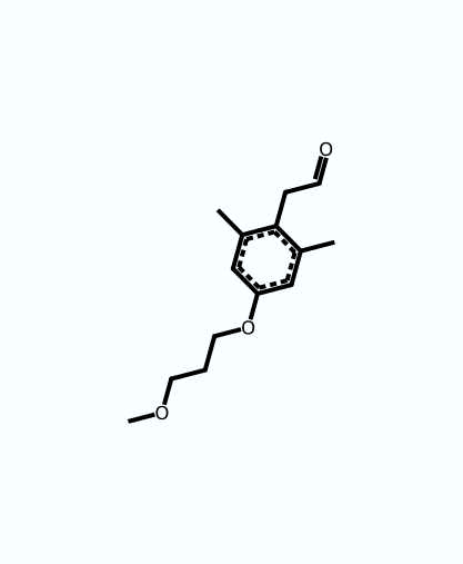 COCCCOc1cc(C)c(CC=O)c(C)c1